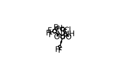 O=C(Nc1cc(C#CC2CC(F)(F)C2)cc2c1C(c1cc(F)ccc1Cl)NC2=O)c1cc(F)cc(C(F)(F)F)c1